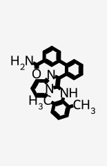 Cc1cccc(C)c1Nc1c(-c2ccccc2-c2cccc(C(N)=O)c2)nc2ccccn12